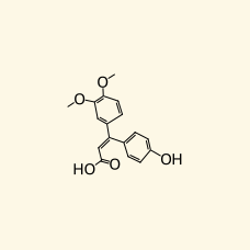 COc1ccc(C(=CC(=O)O)c2ccc(O)cc2)cc1OC